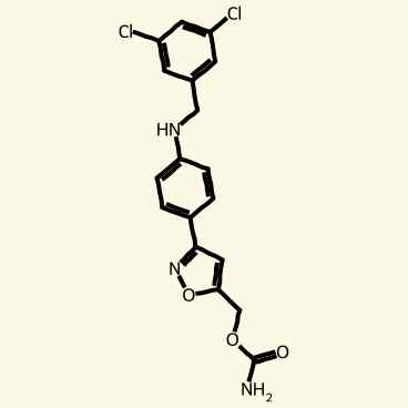 NC(=O)OCc1cc(-c2ccc(NCc3cc(Cl)cc(Cl)c3)cc2)no1